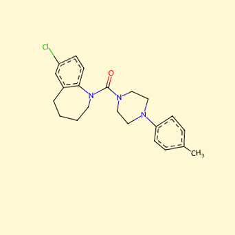 Cc1ccc(N2CCN(C(=O)N3CCCCc4cc(Cl)ccc43)CC2)cc1